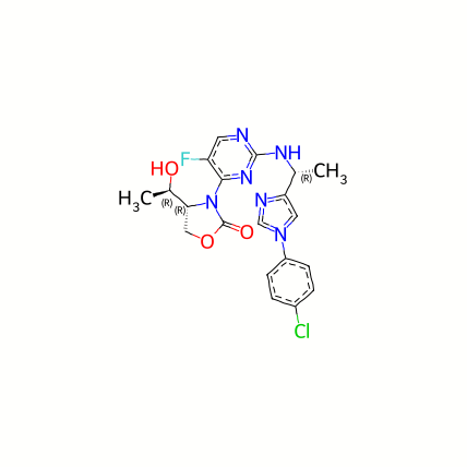 C[C@@H](Nc1ncc(F)c(N2C(=O)OC[C@@H]2[C@@H](C)O)n1)c1cn(-c2ccc(Cl)cc2)cn1